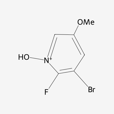 COc1cc(Br)c(F)[n+](O)c1